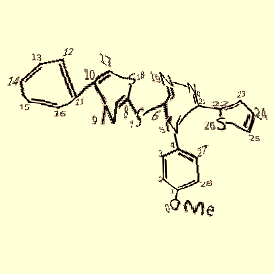 COc1ccc(-n2c(Sc3nc(-c4ccccc4)cs3)nnc2-c2cccs2)cc1